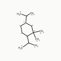 CC(C)C1CCN(C(C)C)CC1(C)C